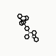 c1ccc(N(c2ccc(-c3ccc4c(c3)-c3c5cccc3-c3cccc-4c3-c3ccccc3-5)cc2)c2cccc3c2sc2ccccc23)cc1